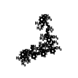 CCC1CCCCC1(CC)[CH2][Al]([CH2]C)[CH](C)CN.CCC1CCCCC1(CC)[CH2][Ga]([CH2]C)[CH](C)CN.CCC1CCCCC1(CC)[CH2][Ga]([CH3])[CH2]CN.CCC1CCCCC1(CC)[CH2][In]([CH3])[CH2]CN.CCC[CH2][In]([CH2]C1(CC)CCCCC1CC)[CH](CN)CCC.CC[CH2][Al]([CH2]C1(CC)CCCCC1CC)[CH](CC)CN